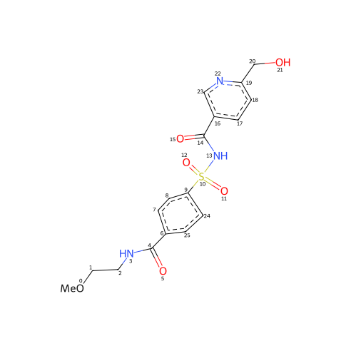 COCCNC(=O)c1ccc(S(=O)(=O)NC(=O)c2ccc(CO)nc2)cc1